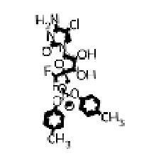 Cc1ccc(OP(=O)(OC[C@@]2(C(F)F)O[C@@H](n3cc(Cl)c(N)nc3=O)[C@@H](O)[C@@H]2O)Oc2ccc(C)cc2)cc1